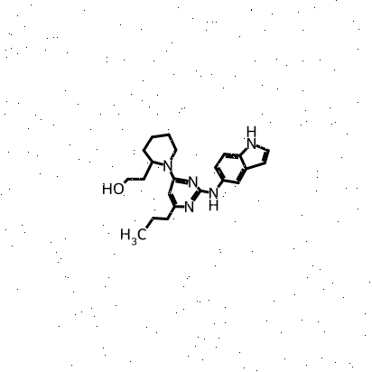 CCCc1cc(N2CCCCC2CCO)nc(Nc2ccc3[nH]ccc3c2)n1